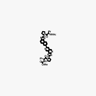 COC(=O)N[C@H](C(=O)N1CCC[C@H]1c1nc2ncc3cc(-c4ccc5c(ccc6nc([C@@H]7CCCN7C(=O)[C@@H](NC(C)=O)C(C)C)[nH]c65)c4)ncc3c2[nH]1)C(C)C